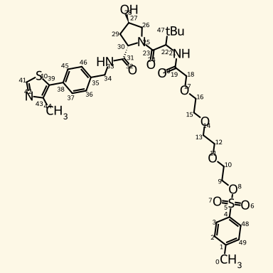 Cc1ccc(S(=O)(=O)OCCOCCOCCOCC(=O)NC(C(=O)N2C[C@H](O)C[C@H]2C(=O)NCc2ccc(-c3scnc3C)cc2)C(C)(C)C)cc1